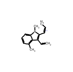 C=Cc1c(/C=C\C)n(C)c2cccc(C)c12